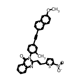 COc1ccc2cc(C#Cc3ccc(-n4c(/C=C/c5ccc([N+](=O)[O-])s5)nc5ccccc5c4=O)c(C)c3)ccc2c1